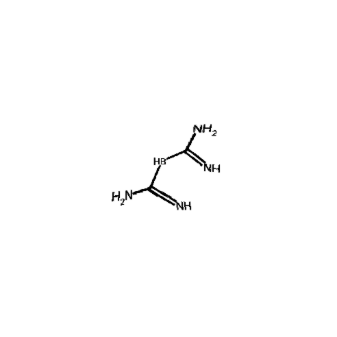 N=C(N)BC(=N)N